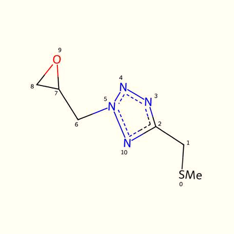 CSCc1nnn(CC2CO2)n1